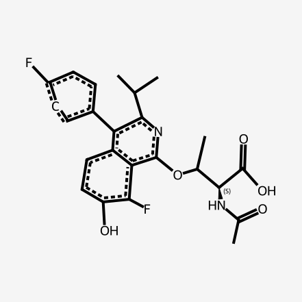 CC(=O)N[C@H](C(=O)O)C(C)Oc1nc(C(C)C)c(-c2ccc(F)cc2)c2ccc(O)c(F)c12